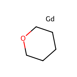 C1CCOCC1.[Gd]